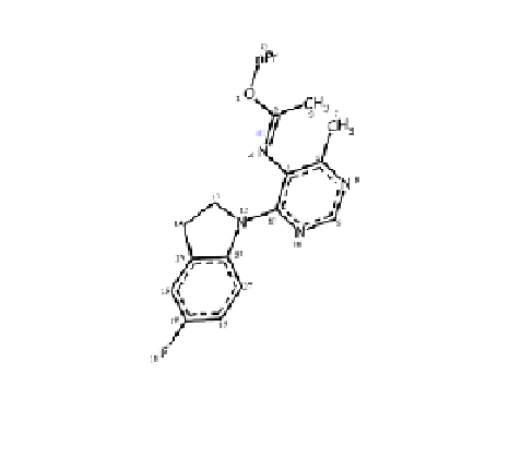 CCCO/C(C)=N/c1c(C)ncnc1N1CCc2cc(F)ccc21